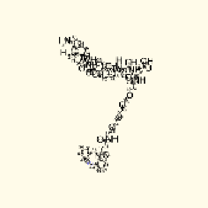 C[C@H](NC(=O)[C@H](CCC(=O)O)NC(=O)CCOCCOCCOCCOCCNC(=O)CCC(=O)N1Cc2ccccc2/C=C\c2ccccc21)C(=O)Nc1ccc2c(c1)[C@@]1(C)CCC[C@](C)(C(=O)NC(=O)[C@@]3(C)CCC[C@]4(C)c5cc(N)ccc5CC[C@@H]34)C1CC2